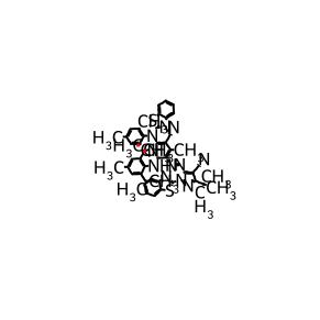 Cc1cc(C)c(N(c2nc3ccccc3s2)c2nc(Nc3c(C(C)C)cc(C)cc3C(C)C)c(N=Nc3c(C#N)c(C(C)(C)C)nn3-c3nc4ccccc4s3)c(C)c2C#N)c(C)c1